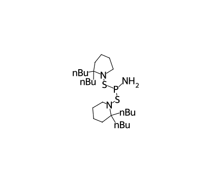 CCCCC1(CCCC)CCCCN1SP(N)SN1CCCCC1(CCCC)CCCC